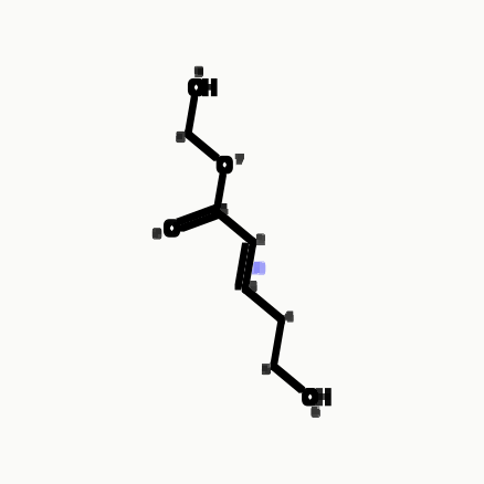 O=C(/C=C/CCO)OCO